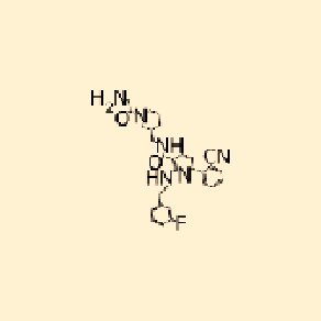 N#Cc1ccccc1-c1ccc(C(=O)NC[C@@H]2CCCN(C(=O)CN)C2)c(NCCc2cccc(F)c2)n1